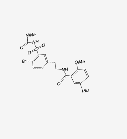 CNC(=O)NS(=O)(=O)c1cc(CCNC(=O)c2cc(C(C)(C)C)ccc2OC)ccc1Br